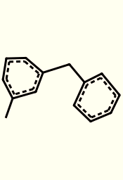 Cc1cccc(Cc2ccccc2)c1